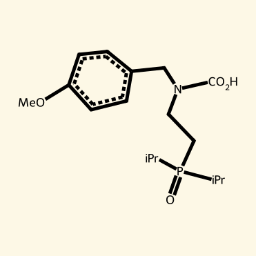 COc1ccc(CN(CCP(=O)(C(C)C)C(C)C)C(=O)O)cc1